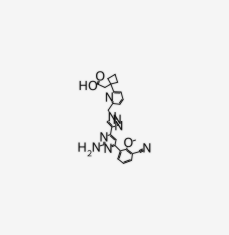 COc1c(C#N)cccc1-c1cc(-c2cn(Cc3cccc(C4(CC(=O)O)CCC4)n3)nn2)nc(N)n1